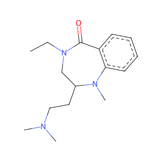 CCN1CC(CCN(C)C)N(C)c2ccccc2C1=O